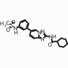 CS(=O)(=O)Nc1cccc(-c2ccc3nc(NC(=O)C4CCCCC4)nn3c2)c1